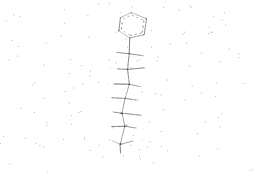 CC(C)(C)C(F)(F)C(F)(F)C(F)(F)C(F)(F)C(F)(F)C(F)(F)c1ccccc1